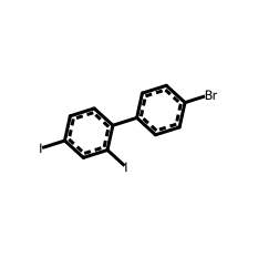 Brc1ccc(-c2ccc(I)cc2I)cc1